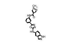 Cn1cc(C(=O)Nc2cccc(-c3nnc(Nc4ccc5[nH]ncc5c4)o3)c2)cn1